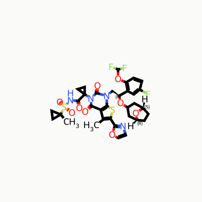 Cc1c(-c2ncco2)sc2c1c(=O)n(C1(C(=O)NS(=O)(=O)C3(C)CC3)CC1)c(=O)n2C[C@H](OC1C[C@H]2CC[C@@H](C1)O2)c1cc(F)ccc1OC(F)F